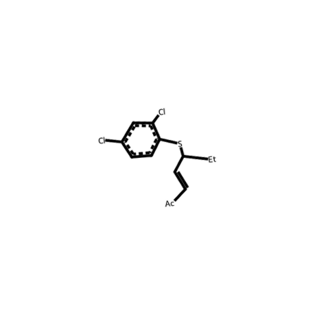 CCC(C=CC(C)=O)Sc1ccc(Cl)cc1Cl